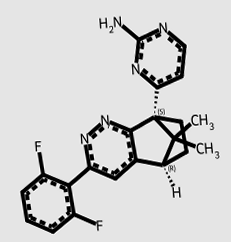 CC1(C)[C@H]2CC[C@]1(c1ccnc(N)n1)c1nnc(-c3c(F)cccc3F)cc12